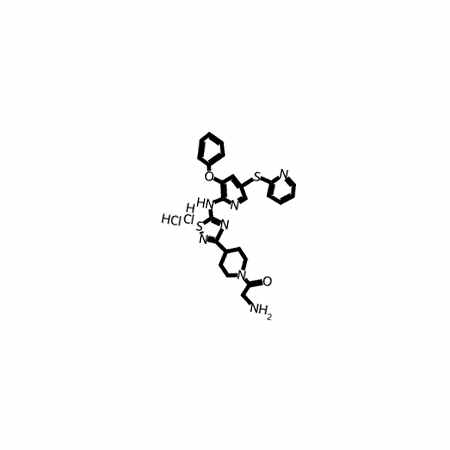 Cl.Cl.NCC(=O)N1CCC(c2nsc(Nc3ncc(Sc4ccccn4)cc3Oc3ccccc3)n2)CC1